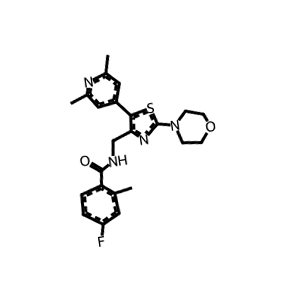 Cc1cc(-c2sc(N3CCOCC3)nc2CNC(=O)c2ccc(F)cc2C)cc(C)n1